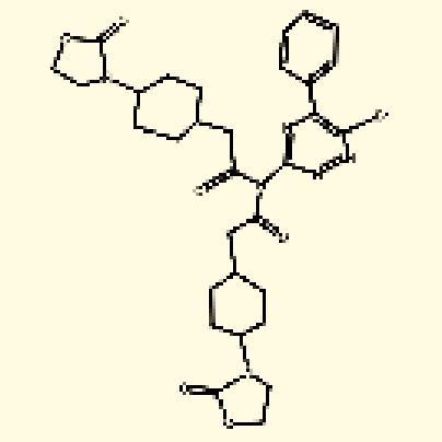 O=C(CC1CCC(N2CCOC2=O)CC1)N(C(=O)CC1CCC(N2CCOC2=O)CC1)c1nnc(Br)c(-c2ccccc2)n1